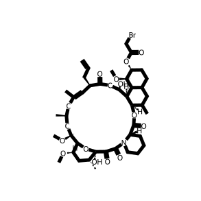 C=CC[C@@H]1/C=C(\C)C[C@H](C)C[C@H](OC)[C@H]2O[C@@](O)(C(=O)C(=O)N3CCCC[C@H]3C(=O)O[C@@H]3C(C)CC4CC[C@@H](OC(=O)CBr)[C@H](OC)C4[C@@H]3[C@@H](O)CC1=O)[C@H](C)C[C@@H]2OC